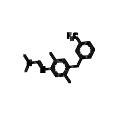 Cc1cc(N=CN(C)C)c(C)cc1Cc1cccc(C(F)(F)F)c1